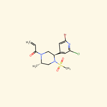 C=CC(=O)N1C[C@@H](c2cc(Cl)nc(Br)c2)N(S(C)(=O)=O)C[C@@H]1C